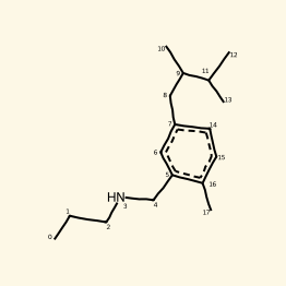 CCCNCc1cc(CC(C)C(C)C)ccc1C